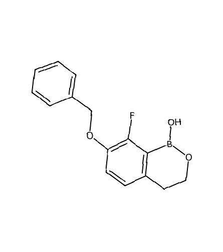 OB1OCCc2ccc(OCc3ccccc3)c(F)c21